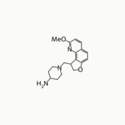 COc1ccc2ccc3c(c2n1)C(CN1CCC(N)CC1)CO3